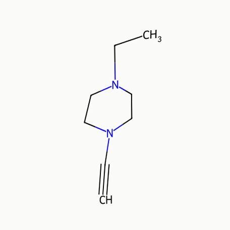 C#CN1CCN(CC)CC1